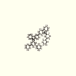 C1=CCC(C2=CCCC(N3C4C=CCCC4C4CCC(C5=CC6=C(CC5)N(C5CC(C7CC=CCC7)=CC(C7C=CCCC7)C5)C5CCC=CC65)CC43)C2)C=C1